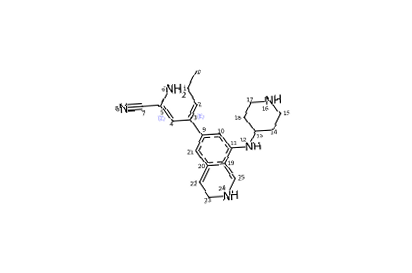 CC/C=C(\C=C(/N)C#N)c1cc(NC2CCNCC2)c2c(c1)=CCNC=2